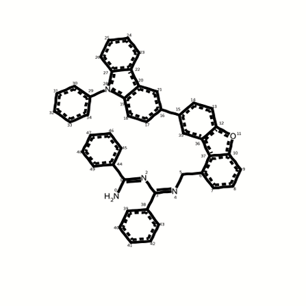 N/C(=N\C(=N/Cc1cccc2oc3ccc(-c4ccc5c(c4)c4ccccc4n5-c4ccccc4)cc3c12)c1ccccc1)c1ccccc1